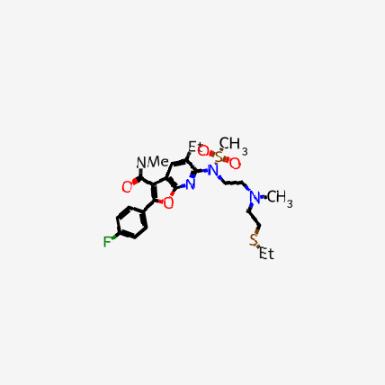 CCSCCN(C)CCN(c1nc2oc(-c3ccc(F)cc3)c(C(=O)NC)c2cc1CC)S(C)(=O)=O